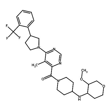 COC1COCCC1NC1CCN(C(=O)c2ncnc(N3CCC(c4ccccc4C(F)(F)F)C3)c2C)CC1